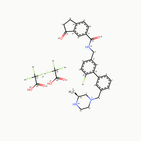 C[C@H]1CN(Cc2cccc(-c3cc(CNC(=O)c4ccc5c(c4)C(=O)CC5)ccc3F)c2)CCN1.O=C(O)C(F)(F)F.O=C(O)C(F)(F)F